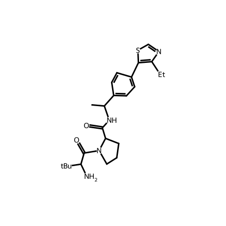 CCc1ncsc1-c1ccc(C(C)NC(=O)C2CCCN2C(=O)C(N)C(C)(C)C)cc1